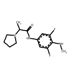 CNc1c(F)cc(NC(=O)C(C)N2CCCC2)cc1F